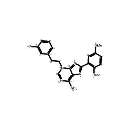 COc1ccc(OC)c(-c2nc3c(N)ncn(CCc4cccc(F)c4)c-3n2)c1